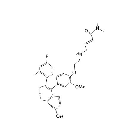 COc1cc(C2=C(c3ccc(F)cc3C)CCCc3cc(O)ccc32)ccc1OCCNC/C=C/C(=O)N(C)C